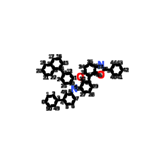 c1ccc(-c2cccc(N(c3ccc(-c4cccc5ccccc45)cc3)c3cccc4c3oc3ccc5nc(-c6ccccc6)oc5c34)c2)cc1